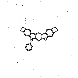 c1ccc(-n2c3cc4c(cc3c3cc5c(cc32)oc2cc3c(cc25)CC3)CC4)cc1